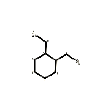 BrCC1CCCCC1CBr